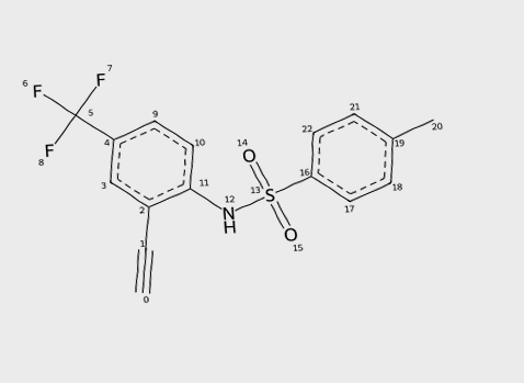 C#Cc1cc(C(F)(F)F)ccc1NS(=O)(=O)c1ccc(C)cc1